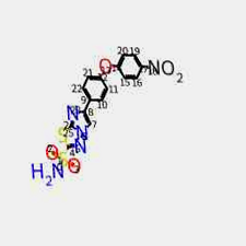 NS(=O)(=O)c1nn2cc(-c3ccc(Oc4ccc([N+](=O)[O-])cc4)cc3)nc2s1